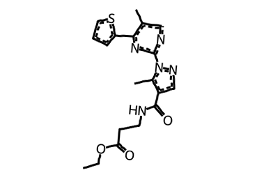 CCOC(=O)CCNC(=O)c1cnn(-c2ncc(C)c(-c3cccs3)n2)c1C